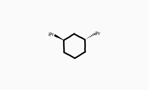 CC(C)[C@H]1[CH][C@H](C(C)C)CCC1